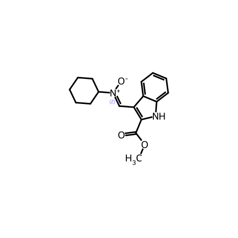 COC(=O)c1[nH]c2ccccc2c1/C=[N+](\[O-])C1CCCCC1